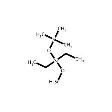 CC[Si](CC)(O[SiH3])O[Si](C)(C)C